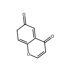 O=C1C=c2c(=O)ccoc2=CC1